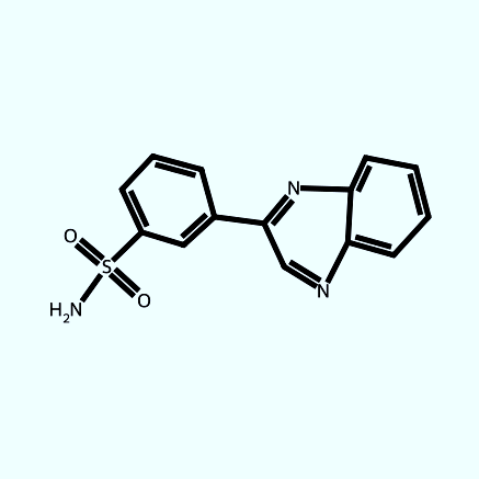 NS(=O)(=O)c1cccc(-c2cnc3ccccc3n2)c1